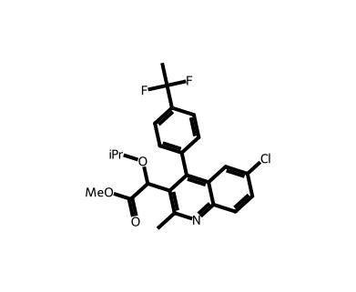 COC(=O)C(OC(C)C)c1c(C)nc2ccc(Cl)cc2c1-c1ccc(C(C)(F)F)cc1